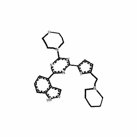 c1cc(-c2nc(-c3ccc(CN4CCCCC4)s3)nc(N3CCOCC3)n2)c2cn[nH]c2c1